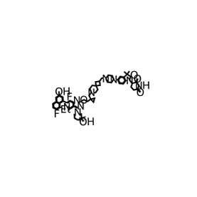 CCc1c(F)ccc2cc(O)cc(-c3ncc4c(N5CCC[C@@](C)(O)C5)nc(OCC5(CN6CCC7(CC6)CC(CN6CCN(c8ccc9c(c8)C(C)(C)C(=O)N9C8CCC(=O)NC8=O)CC6)C7)CC5)nc4c3F)c12